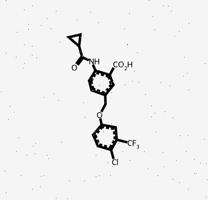 O=C(O)c1cc(COc2ccc(Cl)c(C(F)(F)F)c2)ccc1NC(=O)C1CC1